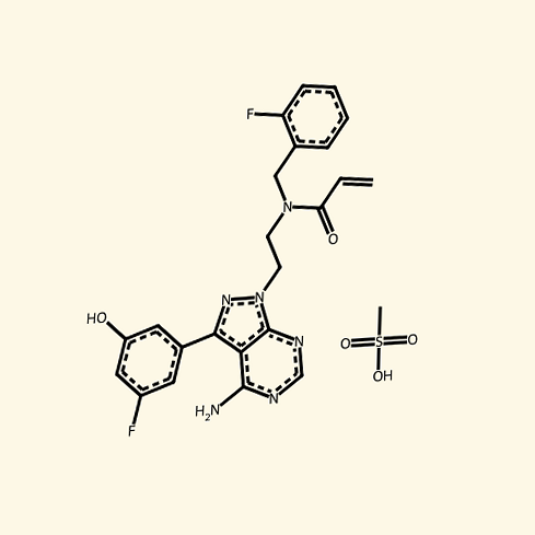 C=CC(=O)N(CCn1nc(-c2cc(O)cc(F)c2)c2c(N)ncnc21)Cc1ccccc1F.CS(=O)(=O)O